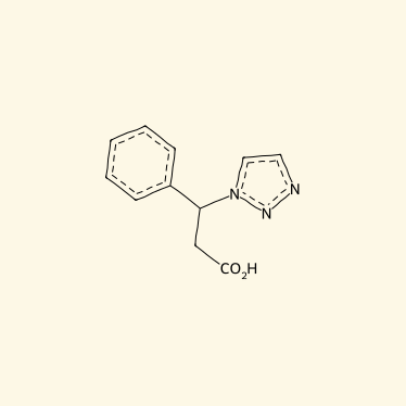 O=C(O)CC(c1ccccc1)n1ccnn1